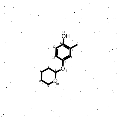 Cc1cc(OC2CCCCO2)ccc1O